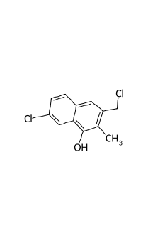 Cc1c(CCl)cc2ccc(Cl)cc2c1O